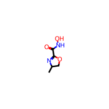 CC1COC(C(=O)NO)=N1